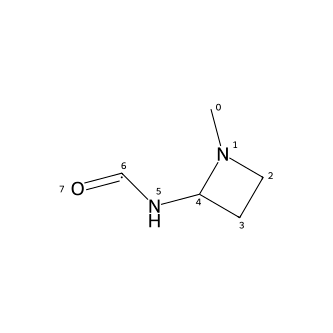 CN1CCC1N[C]=O